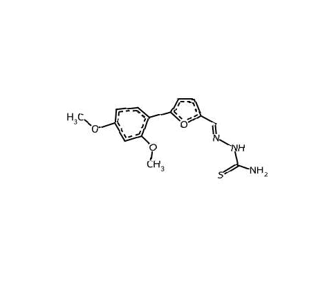 COc1ccc(-c2ccc(C=NNC(N)=S)o2)c(OC)c1